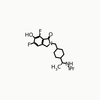 CC(C)N[C@@H](C)C1CCC(CN2Cc3cc(F)c(O)c(F)c3C2=O)CC1